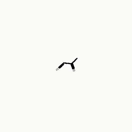 CC(=O)[C]=O